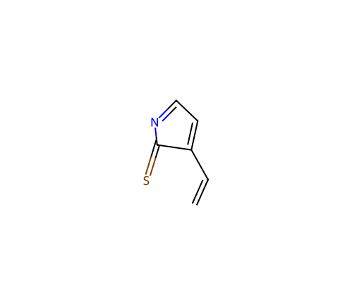 C=CC1=CC=NC1=S